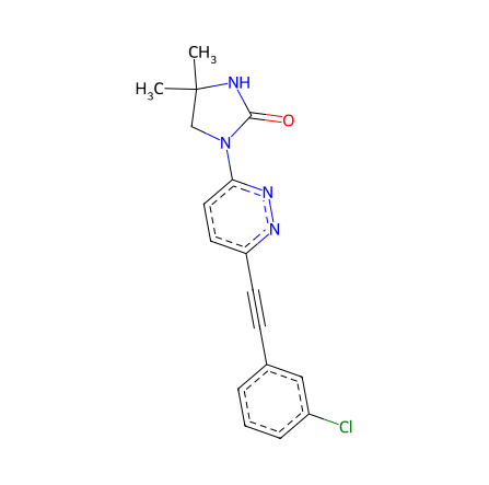 CC1(C)CN(c2ccc(C#Cc3cccc(Cl)c3)nn2)C(=O)N1